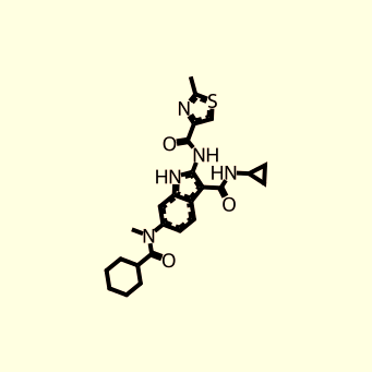 Cc1nc(C(=O)Nc2[nH]c3cc(N(C)C(=O)C4CCCCC4)ccc3c2C(=O)NC2CC2)cs1